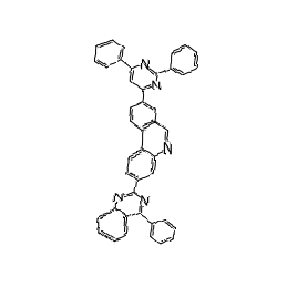 c1ccc(-c2cc(-c3ccc4c(cnc5cc(-c6nc(-c7ccccc7)c7ccccc7n6)ccc54)c3)nc(-c3ccccc3)n2)cc1